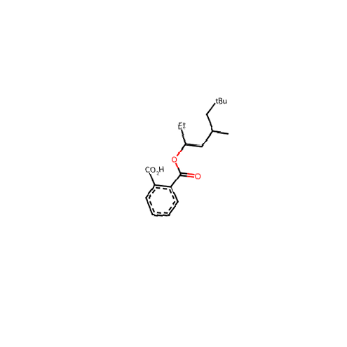 CCC(CC(C)CC(C)(C)C)OC(=O)c1ccccc1C(=O)O